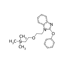 C[Si](C)(C)CCOCCn1c(Oc2ccccc2)nc2ccccc21